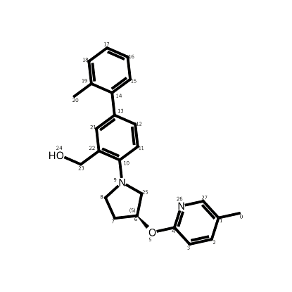 Cc1ccc(O[C@H]2CCN(c3ccc(-c4ccccc4C)cc3CO)C2)nc1